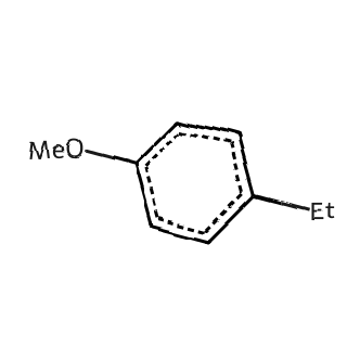 [C]Cc1ccc(OC)cc1